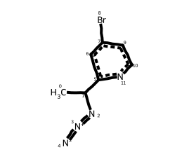 CC(N=[N+]=[N-])c1cc(Br)ccn1